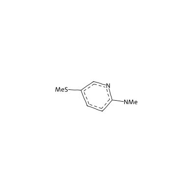 [C]Nc1ccc(SC)cn1